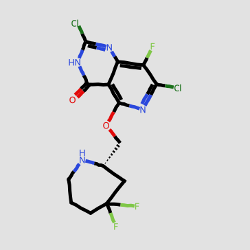 O=c1[nH]c(Cl)nc2c(F)c(Cl)nc(OC[C@@H]3CC(F)(F)CCCN3)c12